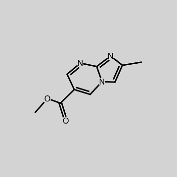 COC(=O)c1cnc2nc(C)cn2c1